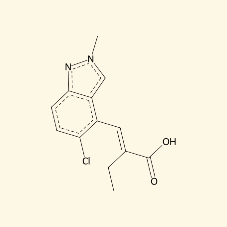 CCC(=Cc1c(Cl)ccc2nn(C)cc12)C(=O)O